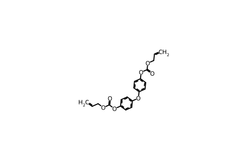 C=CCOC(=O)Oc1ccc(Oc2ccc(OC(=O)OCC=C)cc2)cc1